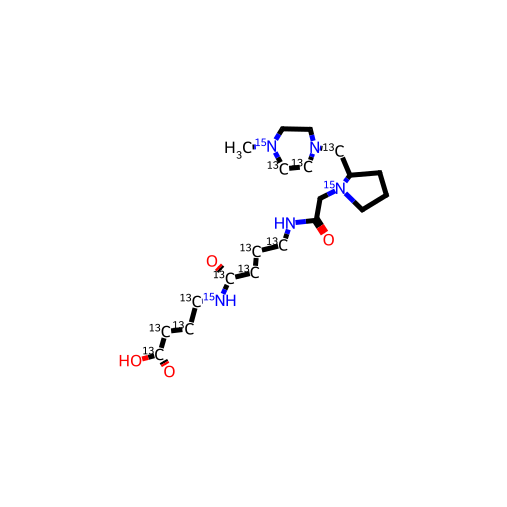 C[15N]1CCN([13CH2]C2CCC[15N]2CC(=O)N[13CH2][13CH2][13CH2][13C](=O)[15NH][13CH2][13CH2][13CH2][13C](=O)O)[13CH2][13CH2]1